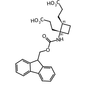 O=C(O)CC[C@H]1CC[C@]1(CCC(=O)O)NC(=O)OCC1c2ccccc2-c2ccccc21